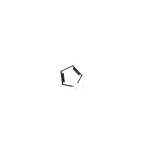 [Fe].c1cc[nH]c1